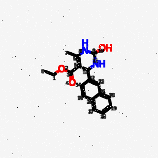 CCOC(=O)C1=C(C)NC(O)NC1c1ccc2ccccc2c1